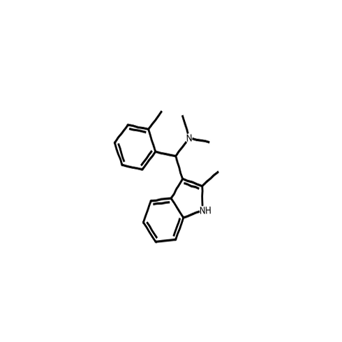 Cc1ccccc1C(c1c(C)[nH]c2ccccc12)N(C)C